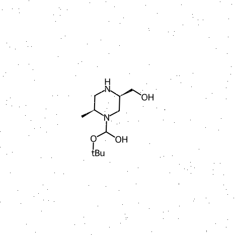 C[C@H]1CN[C@@H](CO)CN1C(O)OC(C)(C)C